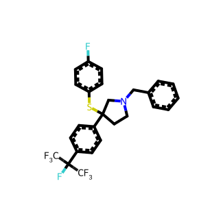 Fc1ccc(SC2(c3ccc(C(F)(C(F)(F)F)C(F)(F)F)cc3)CCN(Cc3ccccc3)C2)cc1